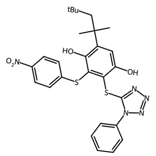 CC(C)(C)CC(C)(C)c1cc(O)c(Sc2nnnn2-c2ccccc2)c(Sc2ccc([N+](=O)[O-])cc2)c1O